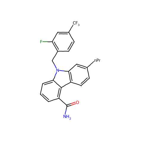 CCCc1c[c]c2c3c(C(N)=O)cccc3n(Cc3ccc(C(F)(F)F)cc3F)c2c1